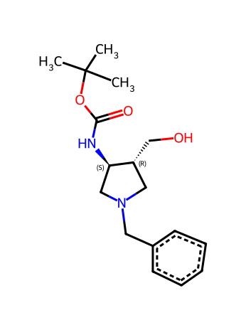 CC(C)(C)OC(=O)N[C@@H]1CN(Cc2ccccc2)C[C@H]1CO